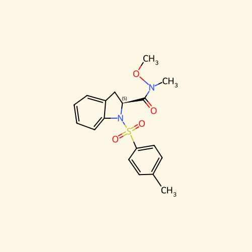 CON(C)C(=O)[C@@H]1Cc2ccccc2N1S(=O)(=O)c1ccc(C)cc1